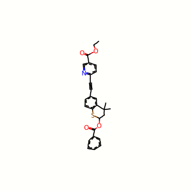 CCOC(=O)c1ccc(C#Cc2ccc3c(c2)C(C)(C)CC(OC(=O)c2ccccc2)S3)nc1